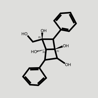 OC[C@]1(O)C(c2ccccc2)[C@]2(O)C(O)C(c3ccccc3)[C@]21O